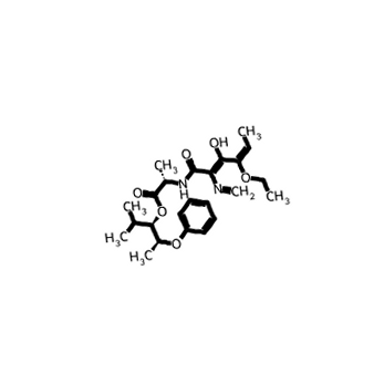 C=N/C(C(=O)N[C@@H](C)C(=O)O[C@H](C(C)C)[C@H](C)Oc1ccccc1)=C(O)\C(=C/C)OCC